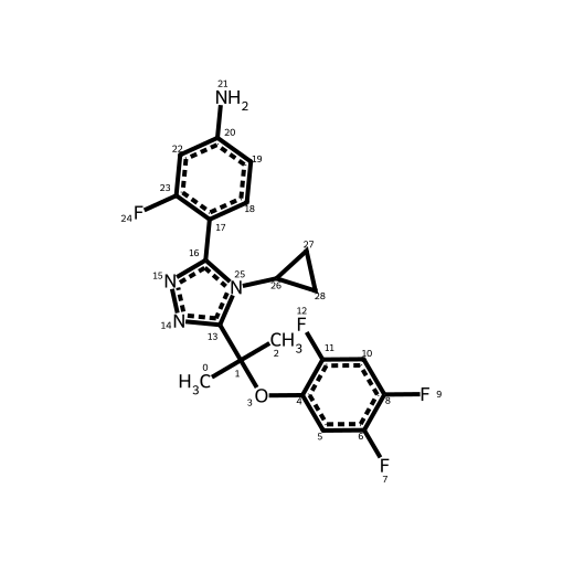 CC(C)(Oc1cc(F)c(F)cc1F)c1nnc(-c2ccc(N)cc2F)n1C1CC1